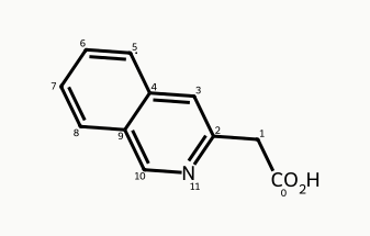 O=C(O)Cc1cc2[c]cccc2cn1